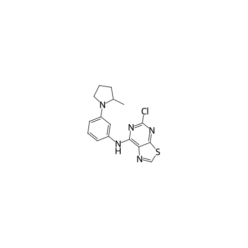 CC1CCCN1c1cccc(Nc2nc(Cl)nc3scnc23)c1